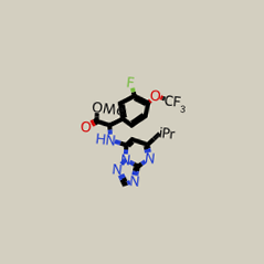 COC(=O)C(Nc1cc(C(C)C)nc2ncnn12)c1ccc(OC(F)(F)F)c(F)c1